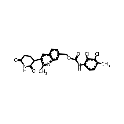 Cc1ccc(NC(=O)OCc2ccc3cc(C4CCC(=O)NC4=O)c(C)nc3c2)c(Cl)c1Cl